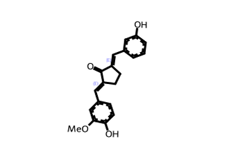 COc1cc(/C=C2\CC/C(=C\c3cccc(O)c3)C2=O)ccc1O